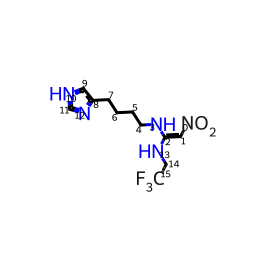 O=[N+]([O-])/C=C(\NCCCCc1c[nH]cn1)NCC(F)(F)F